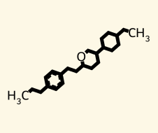 CCCc1ccc(CCC2CCC(C3CCC(CC)CC3)CO2)cc1